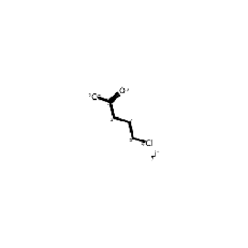 O=C([O-])CCCCl.[Li+]